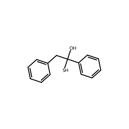 OC(S)(Cc1ccccc1)c1ccccc1